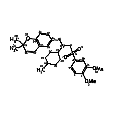 COc1ccc(S(=O)(=O)CN(Cc2ccc3c(c2)C=CC(C)(C)O3)C2CCC(C)CC2)cc1OC